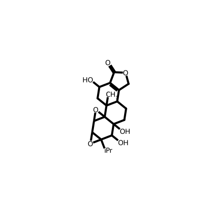 CC(C)C12OC1C1OC13C1(C)CC(O)C4=C(COC4=O)C1CCC3(O)C2O